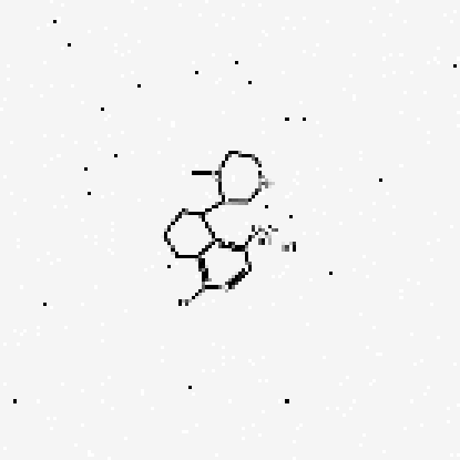 COc1ccc(Br)c2c1C(C1CNCCN1C)CCC2.Cl.Cl